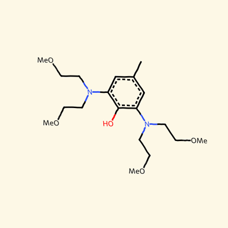 COCCN(CCOC)c1cc(C)cc(N(CCOC)CCOC)c1O